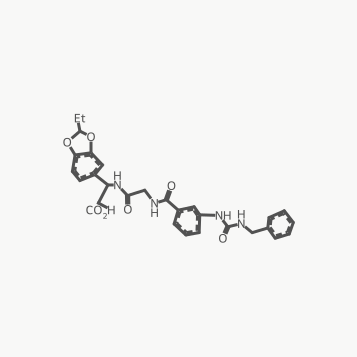 CCC1Oc2ccc(C(CC(=O)O)NC(=O)CNC(=O)c3cccc(NC(=O)NCc4ccccc4)c3)cc2O1